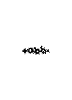 CCc1cc(OC)ncc1-c1ccc2c(c1)COC1(CCN(C3CCC3)CC1)O2